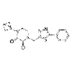 O=C1C(=O)N(C23CC(C2)C3)CCN1Cc1nnc(-c2ccccc2)s1